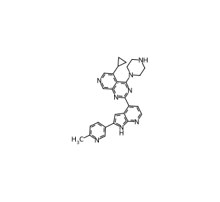 Cc1ccc(-c2cc3c(-c4nc(N5CCNCC5)c5c(C6CC6)cncc5n4)ccnc3[nH]2)cn1